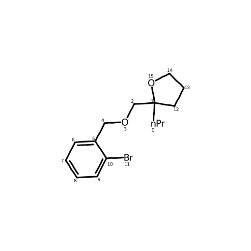 CCCC1(COCc2ccccc2Br)CCCO1